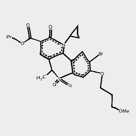 COCCCOc1cc2c(cc1Br)-c1c(cc(C(=O)OC(C)C)c(=O)n1C1CC1)C(C)S2(=O)=O